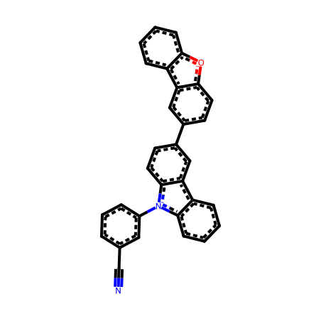 N#Cc1cccc(-n2c3ccccc3c3cc(-c4ccc5oc6ccccc6c5c4)ccc32)c1